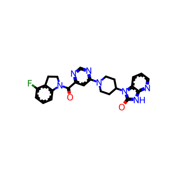 O=C(c1cc(N2CCC(n3c(=O)[nH]c4ncccc43)CC2)ncn1)N1CCc2c(F)cccc21